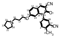 Cc1ccc(-n2c(=O)c(C#N)cc3ccc(OCCCN4CCCC4)cc32)cc1C#N